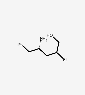 CCC(CO)C[C@@H](N)CC(C)C